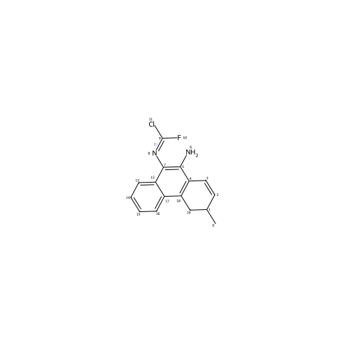 CC1C=Cc2c(N)c(/N=C(\F)Cl)c3ccccc3c2C1